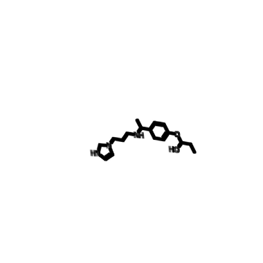 CCC(O)OC1=CCC(C(C)NCCCN2C=CNC2)C=C1